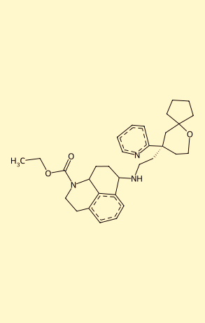 CCOC(=O)N1CCc2cccc3c2C1CCC3NCC[C@@]1(c2ccccn2)CCOC2(CCCC2)C1